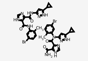 Cc1ccc(Br)cc1N(C(=O)c1nc[nH]c1C(N)=O)c1cc(C2CC2)[nH]n1.Cc1ccc(Br)cc1NC(=O)c1[nH]cnc1C(=O)Nc1cc(C2CC2)[nH]n1